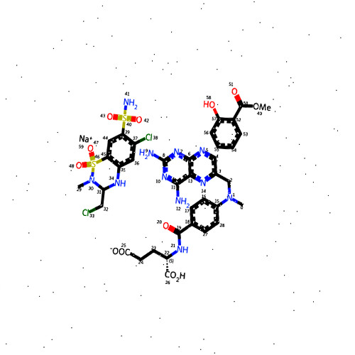 CN(Cc1cnc2nc(N)nc(N)c2n1)c1ccc(C(=O)N[C@@H](CCC(=O)[O-])C(=O)O)cc1.CN1C(CCl)Nc2cc(Cl)c(S(N)(=O)=O)cc2S1(=O)=O.COC(=O)c1ccccc1O.[Na+]